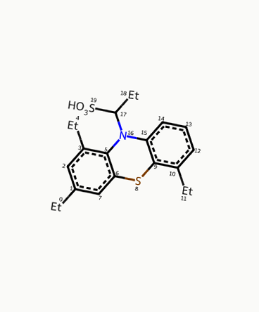 CCc1cc(CC)c2c(c1)Sc1c(CC)cccc1N2C(CC)S(=O)(=O)O